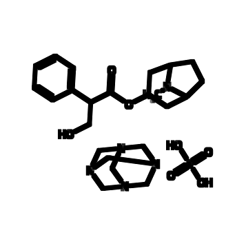 C1N2CN3CN1CN(C2)C3.CN1C2CCC1CC(OC(=O)C(CO)c1ccccc1)C2.O=S(=O)(O)O